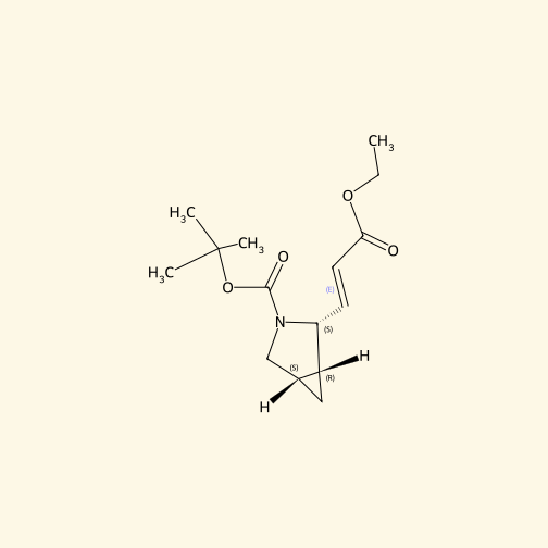 CCOC(=O)/C=C/[C@@H]1[C@@H]2C[C@@H]2CN1C(=O)OC(C)(C)C